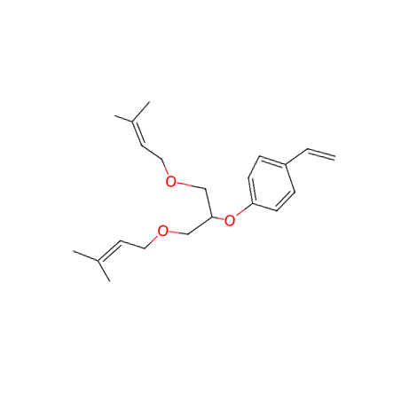 C=Cc1ccc(OC(COCC=C(C)C)COCC=C(C)C)cc1